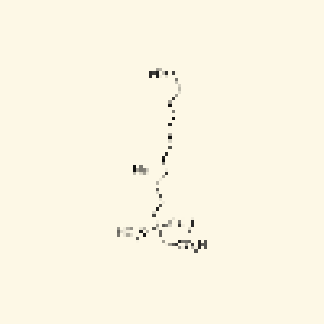 CCCCCCCCCCCCCCCCCCCCC(CC(=O)O)(C(=O)O)S(=O)(=O)O.[NaH]